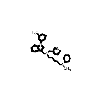 CN(CCCCCN(Cc1cccnc1)Cc1cn(-c2cccc(C(F)(F)F)c2)c2ccccc12)C1CCCCC1